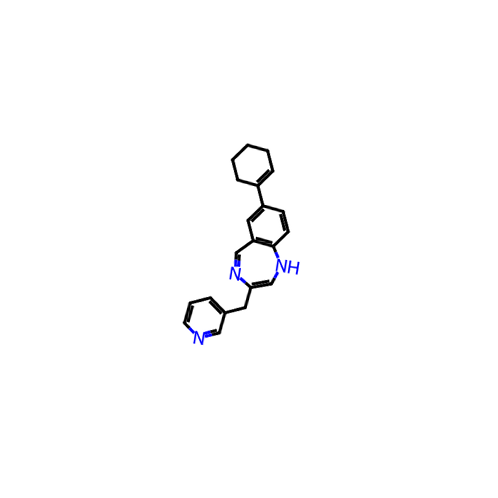 C1=NC(Cc2cccnc2)=CNc2ccc(C3=CCCCC3)cc21